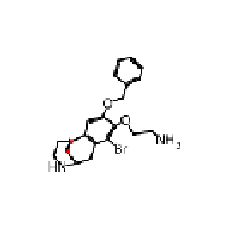 NCCOc1c(OCc2ccccc2)cc2c(c1Br)CC1NCCC23CCCCC13